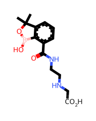 CC1(C)OB(O)c2c(C(=O)NCCNCC(=O)O)cccc21